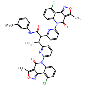 COc1cccc(NC(=O)C(c2cccc(-n3c(=O)c4c(C)onc4c4c(Cl)cccc43)n2)C(C(=O)O)c2cccc(-n3c(=O)c4c(C)onc4c4c(Cl)cccc43)n2)c1